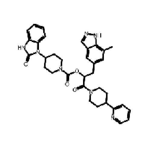 Cc1cc(CC(OC(=O)N2CCC(n3c(=O)[nH]c4ccccc43)CC2)C(=O)N2CCC(c3ccccn3)CC2)cc2cn[nH]c12